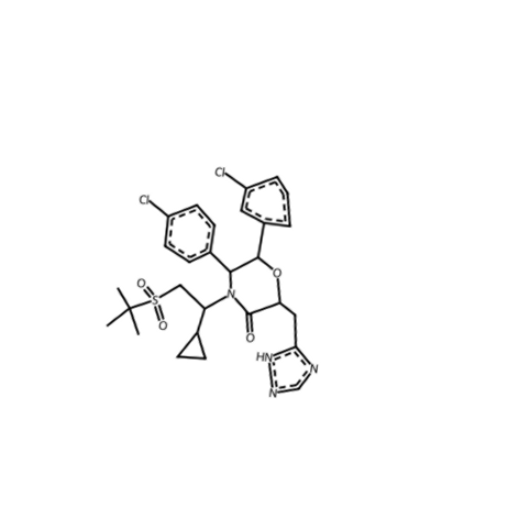 CC(C)(C)S(=O)(=O)CC(C1CC1)N1C(=O)C(Cc2ncn[nH]2)OC(c2cccc(Cl)c2)C1c1ccc(Cl)cc1